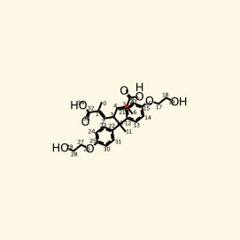 CC(=CC(C=C(C)C(=O)O)C(C)(c1ccc(OCCO)cc1)c1ccc(OCCO)cc1)C(=O)O